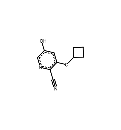 N#Cc1ncc(O)cc1OC1CCC1